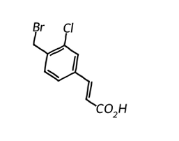 O=C(O)/C=C/c1ccc(CBr)c(Cl)c1